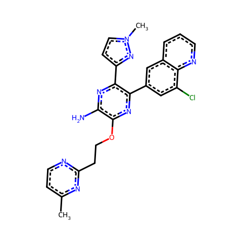 Cc1ccnc(CCOc2nc(-c3cc(Cl)c4ncccc4c3)c(-c3ccn(C)n3)nc2N)n1